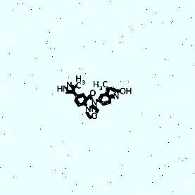 Cc1n[nH]cc1-c1ccc(N2CCOCC2)c(C(=O)Nc2ccc3nc(O)cc(C)c3c2)c1